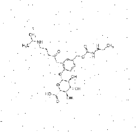 CCNNC(=O)OCc1ccc(O[C@H]2O[C@@H](C(=O)O)[C@H](O)[C@@H](O)[C@@H]2O)c(CC(=O)CCCNC(C)C)c1